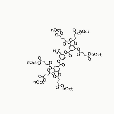 CCCCCCCCOC(=O)CCC(=O)Oc1cc(C(=O)Oc2ccc(OC(=O)c3cc(OC(=O)CCC(=O)OCCCCCCCC)c(OC(=O)CCC(=O)OCCCCCCCC)c(OC(=O)CCC(=O)OCCCCCCCC)c3)c(C)c2)cc(OC(=O)CCC(=O)OCCCCCCCC)c1OC(=O)CCC(=O)OCCCCCCCC